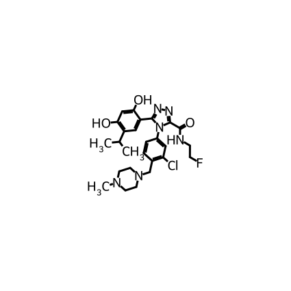 CC(C)c1cc(-c2nnc(C(=O)NCCF)n2-c2ccc(CN3CCN(C)CC3)c(Cl)c2)c(O)cc1O